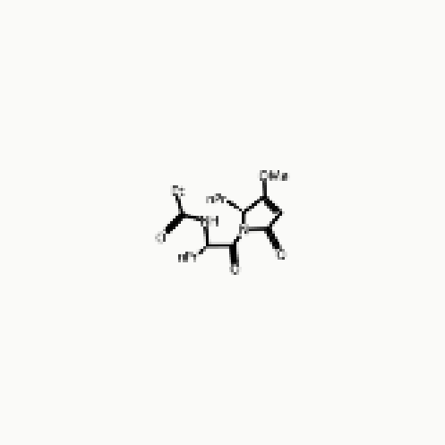 CCC[C@@H](NC(=O)CC)C(=O)N1C(=O)C=C(OC)[C@@H]1CCC